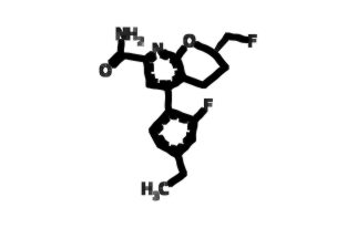 CCc1ccc(-c2cc(C(N)=O)nc3c2CC[C@H](CF)O3)c(F)c1